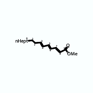 CCCCCCCCCC=CC=CC=CC(=O)OC